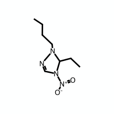 CCCCN1N=CN([N+](=O)[O-])C1CC